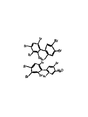 Brc1cc(Br)c(-c2c(Br)cc(Br)c(Br)c2Br)cc1Br.Brc1cc(Br)c(-c2c(Br)cc(Br)c(Br)c2Br)cc1Br.O